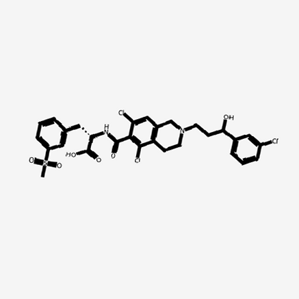 CS(=O)(=O)c1cccc(C[C@H](NC(=O)c2c(Cl)cc3c(c2Cl)CCN(CCC(O)c2cccc(Cl)c2)C3)C(=O)O)c1